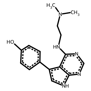 CN(C)CCNc1ncnc2[nH]cc(-c3ccc(O)cc3)c12